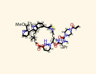 C=CC(=O)N1CCN(C(=O)N(C)[C@H](C(=O)N[C@H]2Cc3nc(cs3)-c3ccc4c(c3)c(c(-c3cccnc3[C@H](C)OC)n4CC)CC(C)(C)COC(=O)[C@@]3(O)CCCN(N3)C2=O)C(C)C)CC1